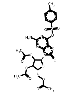 CC(=O)OC[C@H]1O[C@@H](n2c(=O)sc3c(OS(=O)(=O)c4ccc(C)cc4)nc(N)nc32)C(OC(C)=O)[C@@H]1OC(C)=O